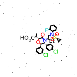 CCC(CN(c1ccccc1F)S(=O)(=O)C1CC1)N1C(=O)[C@@H](C(C)C(=O)O)O[C@H](c2cccc(Cl)c2)[C@H]1c1ccc(Cl)cc1